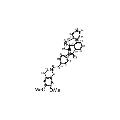 COc1cc2c(cc1OC)CN(CCc1ccc(NC(=O)c3ccccc3C34CCN3CC4c3ccccc3)cc1)CC2